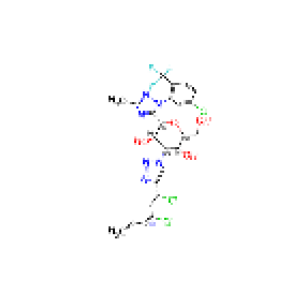 C=C/C=C(/Cl)CC(Cl)c1cn([C@H]2[C@@H](O)[C@@H](CO)O[C@@H](c3nc(C)nn3-c3cc(Cl)ccc3C(F)(F)F)[C@@H]2O)nn1